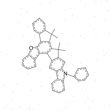 CC1(C)c2ccccc2-c2c1c1c(c3c2oc2ccccc23)-c2cc3c4ccccc4n(-c4ccccc4)c3cc2C1(C)C